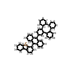 c1ccc2c(c1)-c1ccccc1-c1ccc(-c3c4ccccc4c(-c4cccc5c4sc4ccccc45)c4ccccc34)cc1-c1ccccc1-2